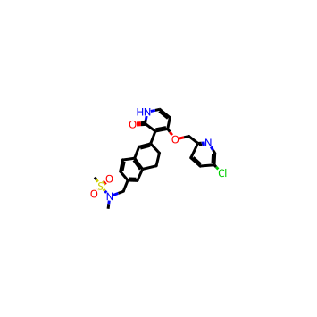 CN(Cc1ccc2c(c1)CCC(c1c(OCc3ccc(Cl)cn3)cc[nH]c1=O)=C2)S(C)(=O)=O